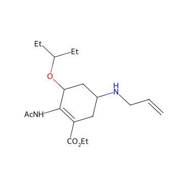 C=CCNC1CC(C(=O)OCC)=C(NC(C)=O)C(OC(CC)CC)C1